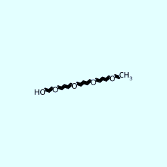 CCCOCCCCCOCCCCCOCCCCCOCCCO